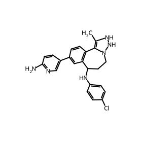 CC1=C2c3ccc(-c4ccc(N)nc4)cc3C(Nc3ccc(Cl)cc3)CCN2NN1